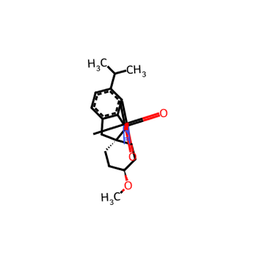 CO[C@H]1CC[C@]2(CC1)Cc1ccc(C(C)C)cc1C21NC(=O)NC1=O